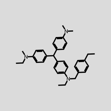 CCc1ccc(CN(CC)c2ccc(C(c3ccc(N(C)C)cc3)c3ccc(N(C)CC)cc3)cc2)cc1